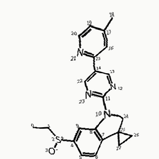 CC[S+]([O-])c1ccc2c(c1)N(c1ncc(-c3cc(C)ccn3)cn1)CC21CC1